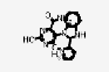 Cn1cccc1C1Nc2ccccc2N1c1cnc(O)nc1C(N)=O